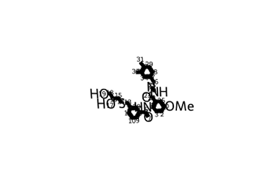 COc1ccc(NC(=O)c2cccc(CSCC(O)CO)c2)c(C(=O)NN=Cc2ccc(C)c(C)c2)c1